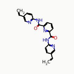 C=Cc1ccc(NC(=O)c2cccc(C(=O)Nc3ccc(C=C)cn3)n2)nc1